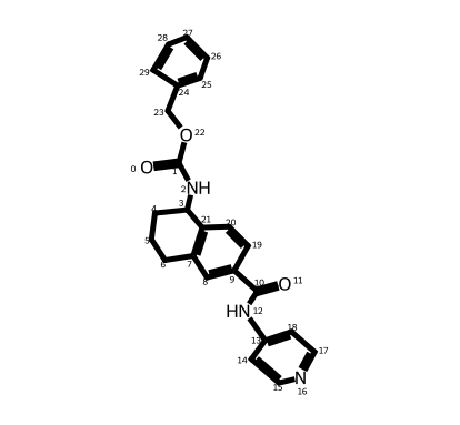 O=C(NC1CCCc2cc(C(=O)Nc3ccncc3)ccc21)OCc1ccccc1